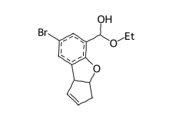 CCOC(O)c1cc(Br)cc2c1OC1CC=CC21